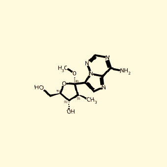 CO[C@@]1(c2cnc3c(N)ncnn23)O[C@H](CO)[C@@H](O)[C@@H]1C